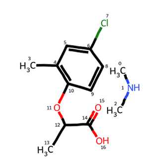 CNC.Cc1cc(Cl)ccc1OC(C)C(=O)O